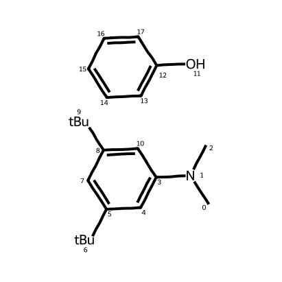 CN(C)c1cc(C(C)(C)C)cc(C(C)(C)C)c1.Oc1ccccc1